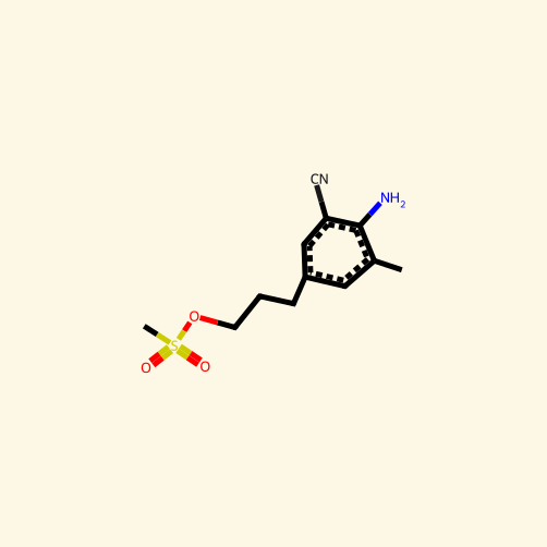 Cc1cc(CCCOS(C)(=O)=O)cc(C#N)c1N